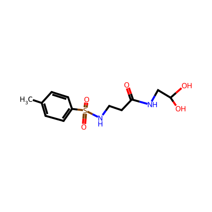 Cc1ccc(S(=O)(=O)NCCC(=O)NCC(O)O)cc1